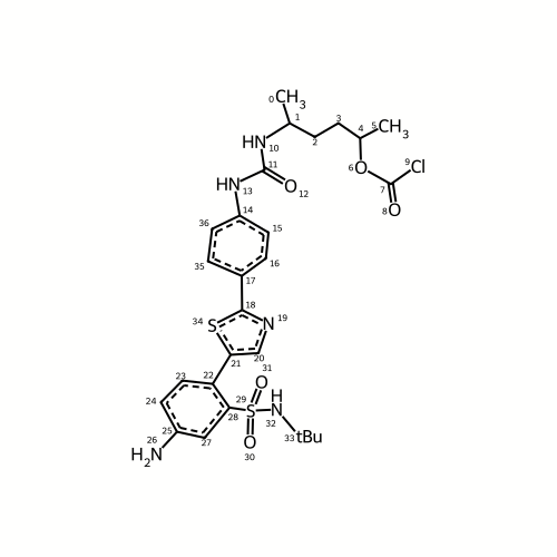 CC(CCC(C)OC(=O)Cl)NC(=O)Nc1ccc(-c2ncc(-c3ccc(N)cc3S(=O)(=O)NC(C)(C)C)s2)cc1